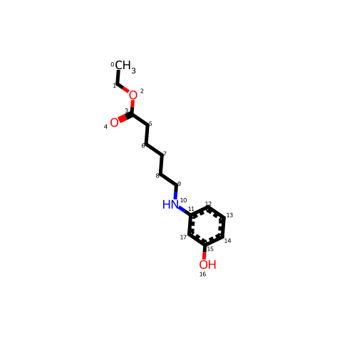 CCOC(=O)CCCCCNc1cccc(O)c1